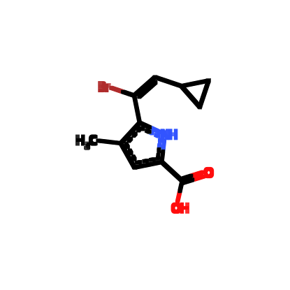 Cc1cc(C(=O)O)[nH]c1/C(Br)=C\C1CC1